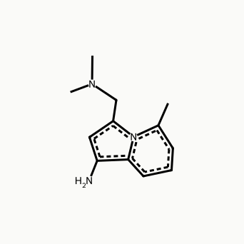 Cc1cccc2c(N)cc(CN(C)C)n12